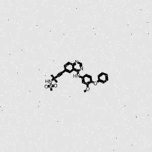 COc1cc(Nc2ncnc3ccc(C#CC(C)(C)NS(C)(=O)=O)cc23)ccc1Oc1ccccc1